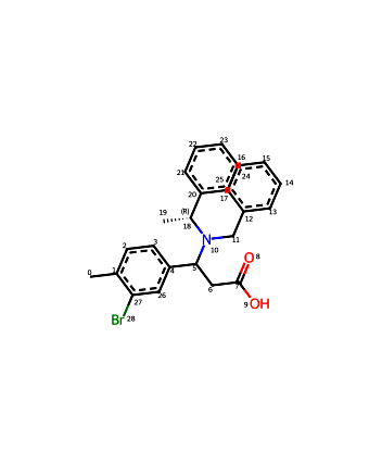 Cc1ccc(C(CC(=O)O)N(Cc2ccccc2)[C@H](C)c2ccccc2)cc1Br